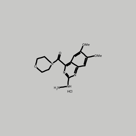 COc1cc2nc(NN)nc(C(=O)N3CCOCC3)c2cc1OC.Cl